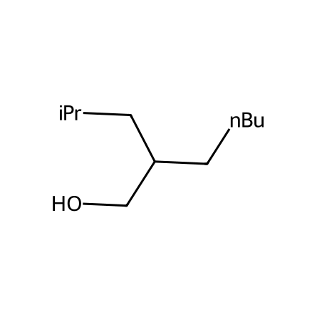 CCCCCC(CO)CC(C)C